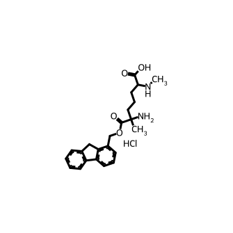 CNC(CCCC(C)(N)C(=O)OCc1cccc2c1Cc1ccccc1-2)C(=O)O.Cl